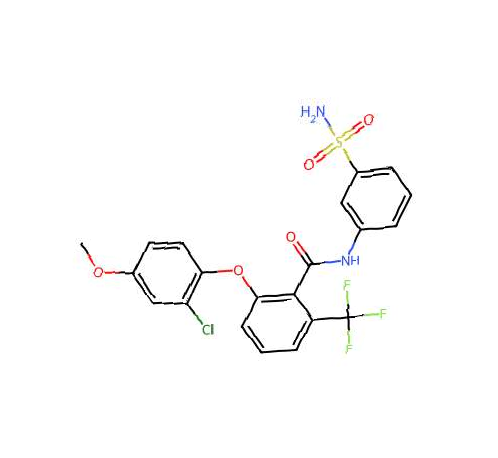 COc1ccc(Oc2cccc(C(F)(F)F)c2C(=O)Nc2cccc(S(N)(=O)=O)c2)c(Cl)c1